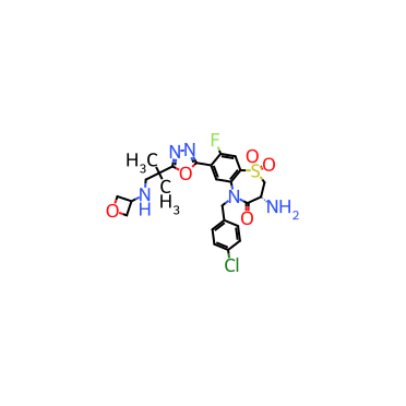 CC(C)(CNC1COC1)c1nnc(-c2cc3c(cc2F)S(=O)(=O)C[C@H](N)C(=O)N3Cc2ccc(Cl)cc2)o1